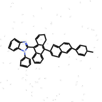 CC1C=CC(c2ccc3cc(-c4c5c(c(-c6nc7ccccc7n6-c6ccccc6)c6ccccc46)C=CCC5)ccc3c2)=CC1